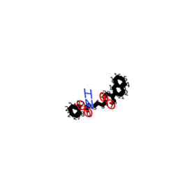 O=C(NCCCC1OCC(c2ccc3ccccc3c2)CO1)Oc1ccccc1